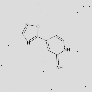 N=c1cc(-c2ncno2)cc[nH]1